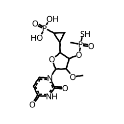 COC1C(OP(C)(=O)S)C(C2CC2P(=O)(O)O)OC1n1ccc(=O)[nH]c1=O